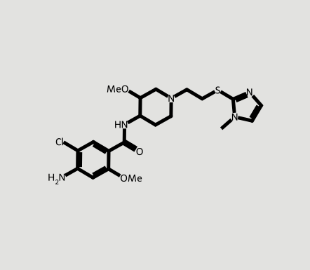 COc1cc(N)c(Cl)cc1C(=O)NC1CCN(CCSc2nccn2C)CC1OC